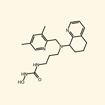 Cc1cnc(CN(CCCNC(=O)NO)C2CCCc3cccnc32)c(C)c1